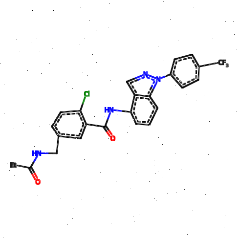 CCC(=O)NCc1ccc(Cl)c(C(=O)Nc2cccc3c2cnn3-c2ccc(C(F)(F)F)cc2)c1